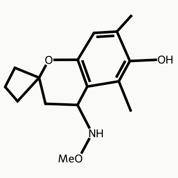 CONC1CC2(CCC2)Oc2cc(C)c(O)c(C)c21